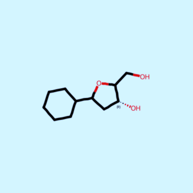 OCC1OC(C2CCCCC2)C[C@H]1O